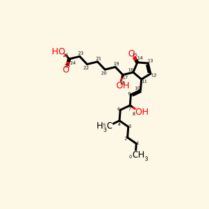 CCCCC(C)CC(O)C=CC1C=CC(=O)C1C(O)CCCCCC(=O)O